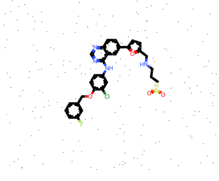 O=[SH](=O)CCCNCc1ccc(-c2ccc3ncnc(Nc4ccc(OCc5cccc(F)c5)c(Cl)c4)c3c2)o1